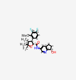 COc1c([C@H]2[C@H](C(=O)Nc3cnc4c(c3)CC[C@@H]4O)O[C@@](C)(C(F)(F)F)[C@H]2C)ccc(F)c1F